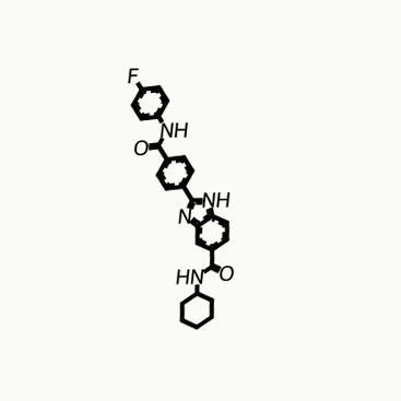 O=C(Nc1ccc(F)cc1)c1ccc(-c2nc3cc(C(=O)NC4CCCCC4)ccc3[nH]2)cc1